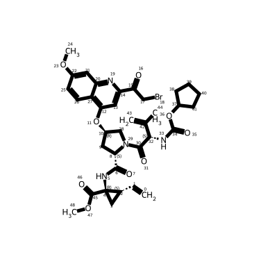 C=C[C@@H]1C[C@]1(NC(=O)[C@@H]1C[C@@H](Oc2cc(C(=O)CBr)nc3cc(OC)ccc23)CN1C(=O)[C@@H](NC(=O)OC1CCCC1)C(=C)C)C(=O)OC